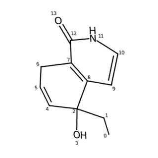 CCC1(O)C=CCc2c1cc[nH]c2=O